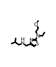 CCN(CCOC)c1nc(CNCC(C)C)cs1